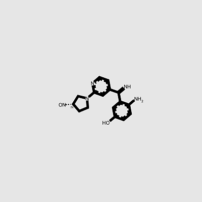 N=C(c1ccnc(N2CC[C@H](N=O)C2)c1)c1cc(O)ccc1N